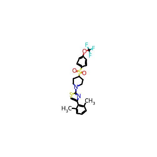 Cc1cccc(C)c1-c1csc(N2CCC(S(=O)(=O)c3ccc(OC(F)(F)F)cc3)CC2)n1